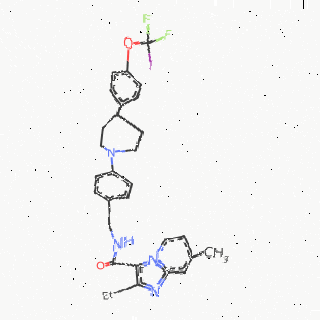 CCc1nc2cc(C)ccn2c1C(=O)NCc1ccc(N2CCC(c3ccc(OC(F)(F)I)cc3)CC2)cc1